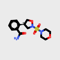 NC(=O)c1ccccc1[C@@H]1CON(S(=O)(=O)N2CCOCC2)C1